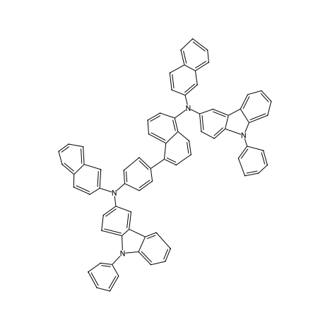 c1ccc(-n2c3ccccc3c3cc(N(c4ccc(-c5cccc6c(N(c7ccc8ccccc8c7)c7ccc8c(c7)c7ccccc7n8-c7ccccc7)cccc56)cc4)c4ccc5ccccc5c4)ccc32)cc1